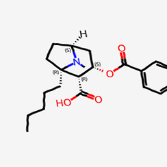 CCCCC[C@@]12CC[C@@H](C[C@H](OC(=O)c3ccccc3)[C@@H]1C(=O)O)N2C